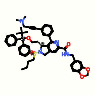 CCCC[S@@+]([O-])N1Cc2cc(C(=O)NCc3ccc4c(c3)OCO4)nc(-c3cccc(C#CCN(C)C)c3)c2[C@H]1CCO[Si](c1ccccc1)(c1ccccc1)C(C)(C)C